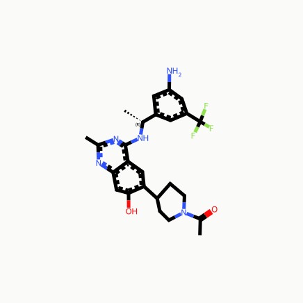 CC(=O)N1CCC(c2cc3c(N[C@H](C)c4cc(N)cc(C(F)(F)F)c4)nc(C)nc3cc2O)CC1